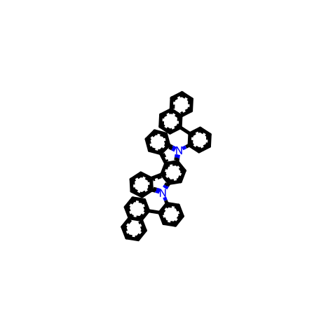 c1ccc(-n2c3ccccc3c3c4c5ccccc5n(-c5ccccc5-c5cccc6ccccc56)c4ccc32)c(-c2cccc3ccccc23)c1